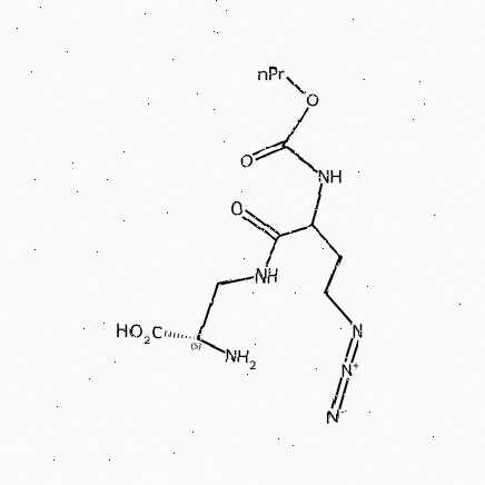 CCCOC(=O)NC(CCN=[N+]=[N-])C(=O)NC[C@H](N)C(=O)O